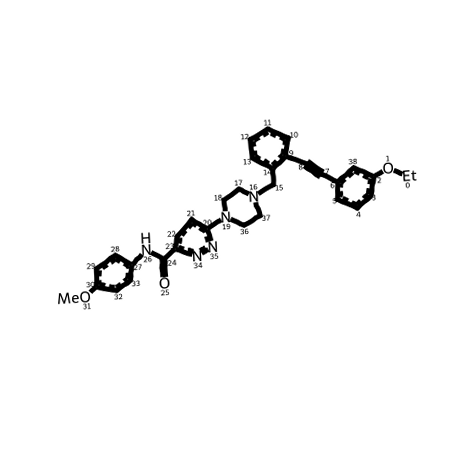 CCOc1cccc(C#Cc2ccccc2CN2CCN(c3ccc(C(=O)Nc4ccc(OC)cc4)nn3)CC2)c1